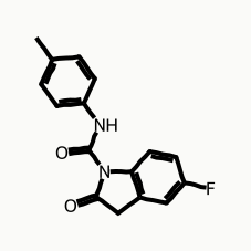 Cc1ccc(NC(=O)N2C(=O)Cc3cc(F)ccc32)cc1